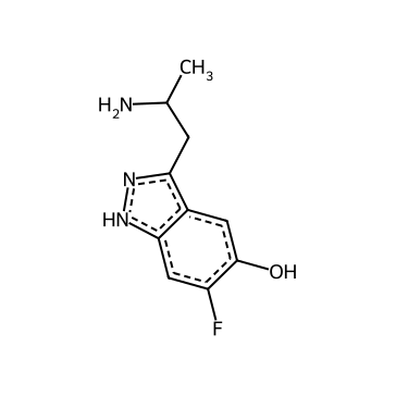 CC(N)Cc1n[nH]c2cc(F)c(O)cc12